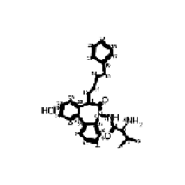 CC(C)[C@H](N)C(=O)NN1C(=O)C(CCCCc2ccccc2)c2ccccc2-c2ccccc21.Cl